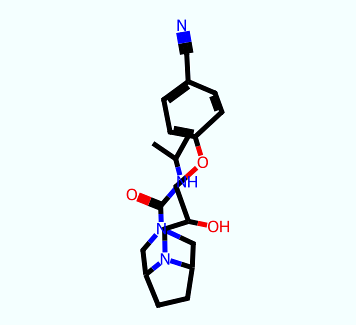 CC(C)NC(=O)N1CC2CCC(C1)N2CC(O)COc1ccc(C#N)cc1